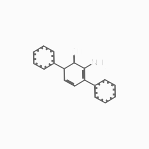 CC1C(N)=C(c2ccccc2)C=CC1c1ccccc1